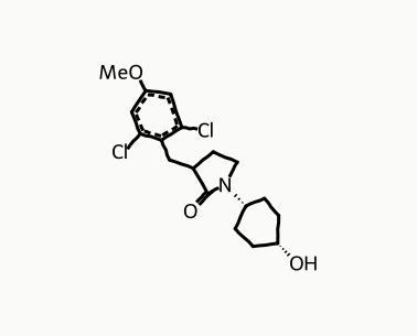 COc1cc(Cl)c(CC2CCN([C@H]3CC[C@@H](O)CC3)C2=O)c(Cl)c1